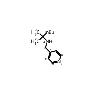 CCCCC(C)(C)NCc1ccncc1